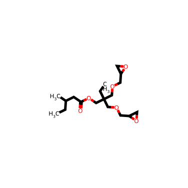 CCC(C)CC(=O)OCC(CC)(COCC1CO1)COCC1CO1